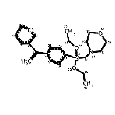 C=C(c1ccccc1)c1ccc([Si](CN2CCOCC2)(OCC)OCC)cc1